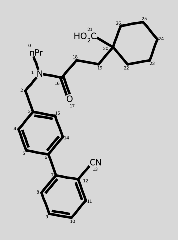 CCCN(Cc1ccc(-c2ccccc2C#N)cc1)C(=O)CCC1(C(=O)O)CCCCC1